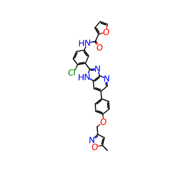 Cc1cc(COc2ccc(-c3cnc4nc(-c5cc(NC(=O)c6ccco6)ccc5Cl)[nH]c4c3)cc2)no1